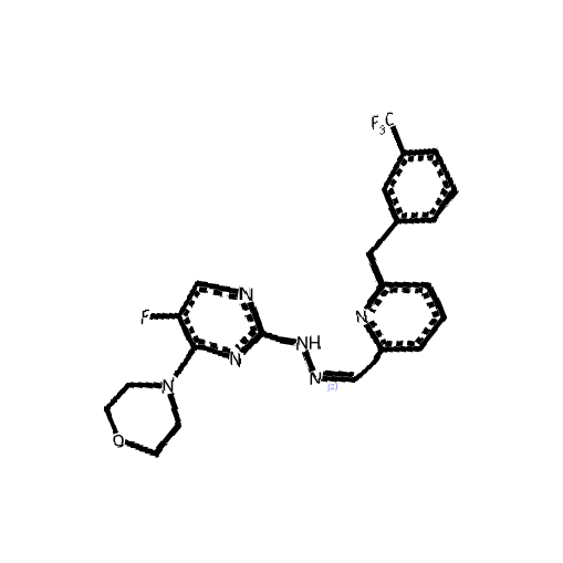 Fc1cnc(N/N=C\c2cccc(Cc3cccc(C(F)(F)F)c3)n2)nc1N1CCOCC1